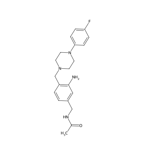 CC(=O)NCc1ccc(CN2CCN(c3ccc(F)cc3)CC2)c(N)c1